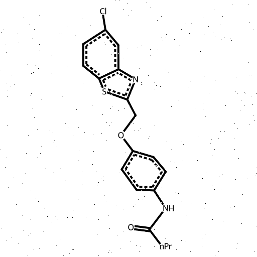 CCCC(=O)Nc1ccc(OCc2nc3cc(Cl)ccc3s2)cc1